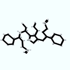 C=NCCC(CC1COC(C(CC)OC(CCN=C)C2CCCCC2)C1CCC)C1CCCCC1